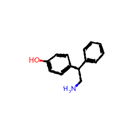 NCC(c1ccccc1)c1ccc(O)cc1